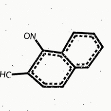 O=[C]c1ccc2ccccc2c1N=O